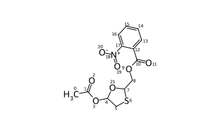 CC(=O)OC1CSC(COC(=O)c2ccccc2[N+](=O)[O-])O1